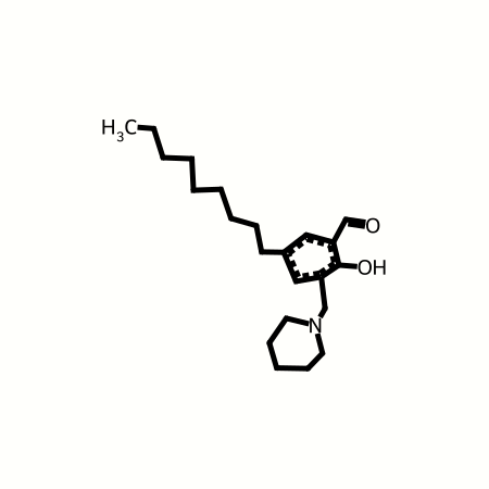 CCCCCCCCCc1cc(C=O)c(O)c(CN2CCCCC2)c1